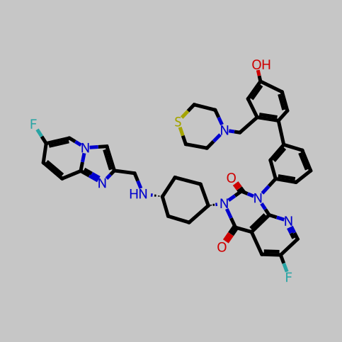 O=c1c2cc(F)cnc2n(-c2cccc(-c3ccc(O)cc3CN3CCSCC3)c2)c(=O)n1[C@H]1CC[C@@H](NCc2cn3cc(F)ccc3n2)CC1